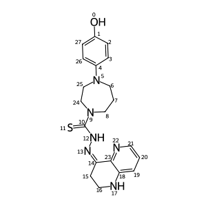 Oc1ccc(N2CCCN(C(=S)N/N=C3/CCNc4cccnc43)CC2)cc1